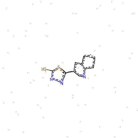 Sc1nnc(-c2cnc3ccccc3c2)s1